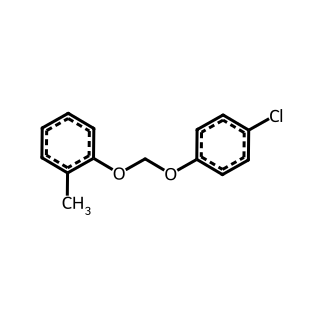 Cc1ccccc1OCOc1ccc(Cl)cc1